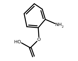 C=C(O)Oc1ccccc1N